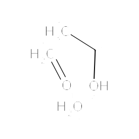 C=O.CCO.O